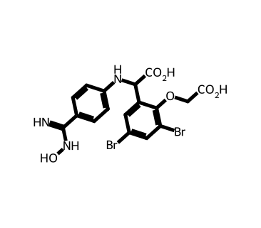 N=C(NO)c1ccc(NC(C(=O)O)c2cc(Br)cc(Br)c2OCC(=O)O)cc1